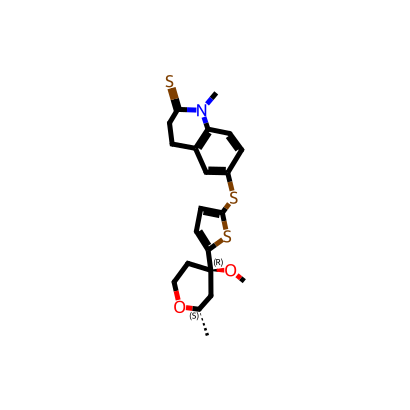 CO[C@]1(c2ccc(Sc3ccc4c(c3)CCC(=S)N4C)s2)CCO[C@@H](C)C1